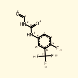 O=CNC(=O)Nc1ccc(F)c(C(F)(F)F)c1